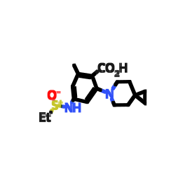 CC[S+]([O-])Nc1cc(C)c(C(=O)O)c(N2CCC3(CC2)CC3)c1